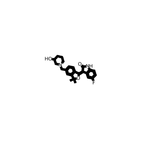 CC1(C)OC(=C2C(=O)Nc3ccc(F)cc32)c2ccc(CN3CCCC(O)C3)cc21